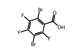 O=C(O)c1c(F)c(Br)c(F)c(F)c1Br